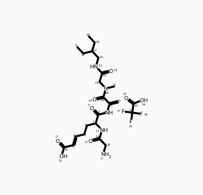 C=C(NC(=O)C(CCC=CC(=O)O)NC(=O)CN)C(=O)N(C)CC(=O)NCC(CC)CC.O=C(O)C(F)(F)F